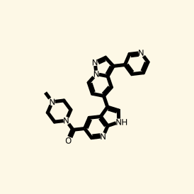 CN1CCN(C(=O)c2cnc3[nH]cc(-c4ccn5ncc(-c6cccnc6)c5c4)c3c2)CC1